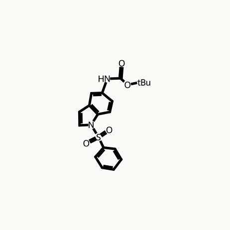 CC(C)(C)OC(=O)Nc1ccc2c(ccn2S(=O)(=O)c2ccccc2)c1